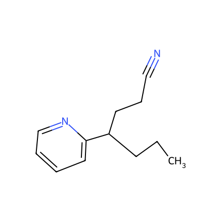 CCCC(CCC#N)c1ccccn1